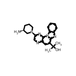 CC(C)(O)c1cc2ncc(N3CCC[C@H](N)C3)nc2n2c1nc1ccccc12